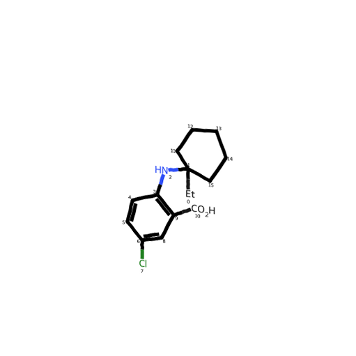 CCC1(Nc2ccc(Cl)cc2C(=O)O)CCCCC1